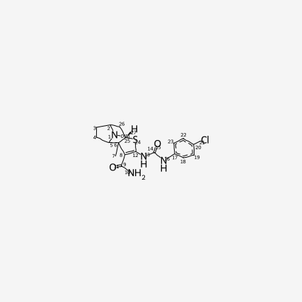 CN1C2CCC1C1(C)C(C(N)=O)=C(NC(=O)Nc3ccc(Cl)cc3)S[C@H]1C2